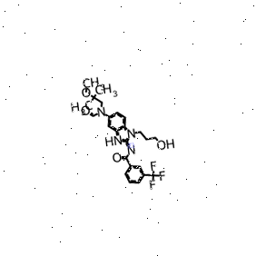 COC(C)(C)CN(C=O)c1ccc2c(c1)[nH]/c(=N\C(=O)c1cccc(C(F)(F)F)c1)n2CCCO